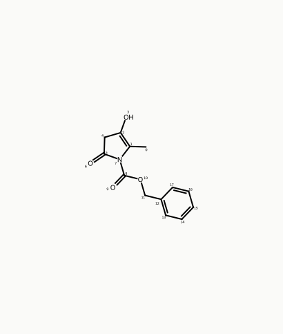 CC1=C(O)CC(=O)N1C(=O)OCc1ccccc1